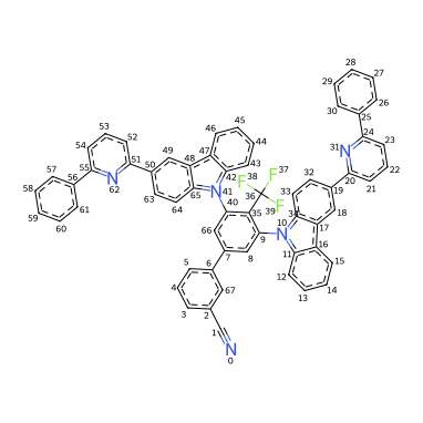 N#Cc1cccc(-c2cc(-n3c4ccccc4c4cc(-c5cccc(-c6ccccc6)n5)ccc43)c(C(F)(F)F)c(-n3c4ccccc4c4cc(-c5cccc(-c6ccccc6)n5)ccc43)c2)c1